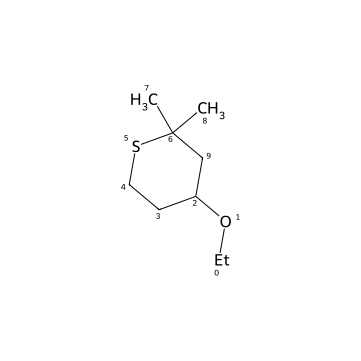 CCOC1CCSC(C)(C)C1